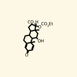 CCOC(=O)OC1(C(=O)O)CCC2C3CCC4=CC(=O)C=CC4(C)C3C(O)CC21C